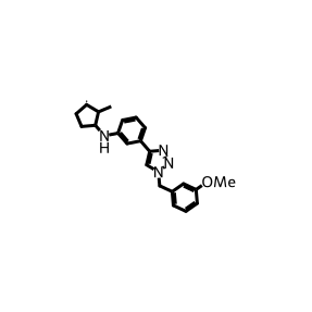 COc1cccc(Cn2cc(-c3cccc(NC4CC[CH]C4C)c3)nn2)c1